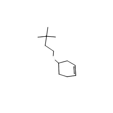 CC(C)(C)CCOC1CC=CCC1